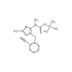 CN(C(=O)OC(C)(C)C)c1nn(C)cc1Cc1ccccc1C#N